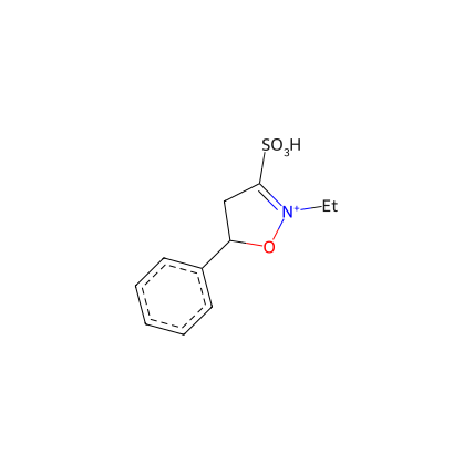 CC[N+]1=C(S(=O)(=O)O)CC(c2ccccc2)O1